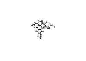 CC#C[C@]1(O)CC[C@H]2[C@@H]3CCC4=CC(=O)CCC4=C3[C@@H](c3cccc(OC(C)C)c3)C[C@@]21C